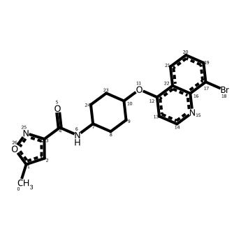 Cc1cc(C(=O)NC2CCC(Oc3ccnc4c(Br)cccc34)CC2)no1